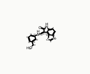 O=C1Nc2ccc3ncsc3c2C1=CNc1cccc(CO)c1